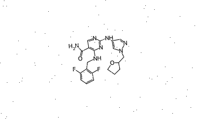 NC(=O)c1cnc(Nc2cnn(CC3CCCO3)c2)nc1NCc1c(F)cccc1F